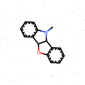 CN1c2ccccc2C2Oc3ccccc3C21